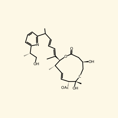 CC(=O)O[C@@H]1/C=C/[C@H](C)[C@@H](/C(C)=C/C=C/C(C)c2cccc([C@@H](C)CO)n2)OC(=O)C[C@@H](O)CC[C@]1(C)O